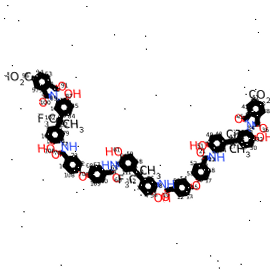 CC(c1ccc(O)c(NC(=O)c2ccc(Oc3ccc(C(=O)Nc4cc(C(C)(c5ccc(O)c(N6C(=O)c7ccc(C(=O)O)cc7C6=O)c5)C(F)(F)F)ccc4O)cc3)cc2)c1)(c1ccc(O)c(NC(=O)c2ccc(Oc3ccc(C(=O)Nc4cc(C(C)(c5ccc(O)c(N6C(=O)c7ccc(C(=O)O)cc7C6=O)c5)C(F)(F)F)ccc4O)cc3)cc2)c1)C(F)(F)F